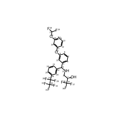 O[C@H](CNC(c1cccc(Oc2ccnc(OC(F)F)c2)c1)c1cccc(C(F)(F)C(F)(F)F)c1)C(F)(F)F